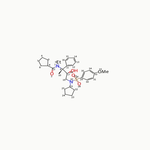 CCN(C(=O)C1CCCC1)[C@](C)(c1ccccc1)[C@@H](O)CN(C1CCCC1)S(=O)(=O)c1ccc(OC)cc1